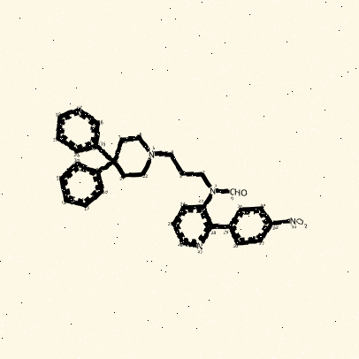 O=CN(CCCN1CCC(c2ccccc2)(c2ccccc2)CC1)c1cccnc1-c1ccc([N+](=O)[O-])cc1